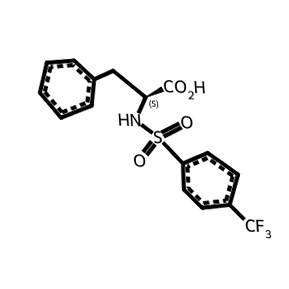 O=C(O)[C@H](Cc1ccccc1)NS(=O)(=O)c1ccc(C(F)(F)F)cc1